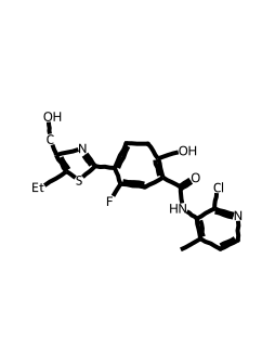 CCc1sc(C2=CCC(O)=C(C(=O)Nc3c(C)ccnc3Cl)C=C2F)nc1CO